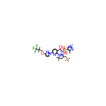 Cc1nn(C)cc1S(=O)(=O)NC(=O)c1ccc(-n2ccc(OCC(C)(C)C(F)(F)F)n2)nc1N1CC(CS(C)(C)C)CC1(C)C